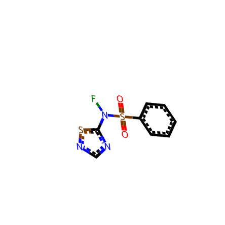 O=S(=O)(c1ccccc1)N(F)c1ncns1